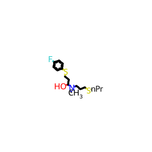 CCCSCCCN(C)C(O)CCSc1ccc(F)cc1